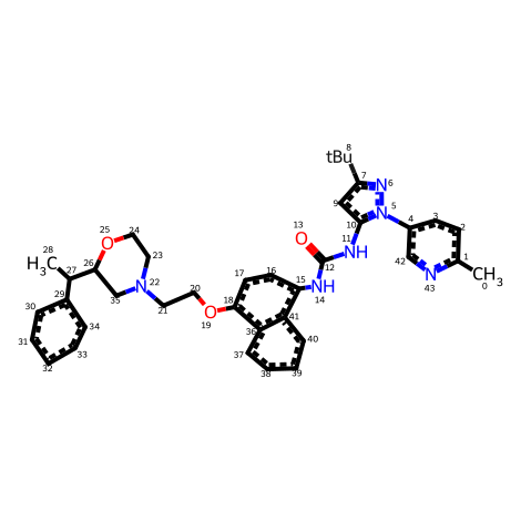 Cc1ccc(-n2nc(C(C)(C)C)cc2NC(=O)Nc2ccc(OCCN3CCOC(C(C)c4ccccc4)C3)c3ccccc23)cn1